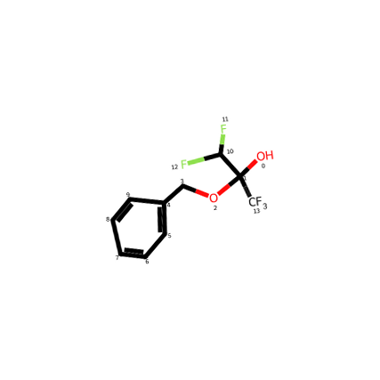 OC(OCc1ccccc1)(C(F)F)C(F)(F)F